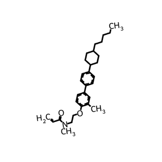 C=CC(=O)N(C)CCOc1ccc(-c2ccc(C3CCC(CCCCC)CC3)cc2)cc1C